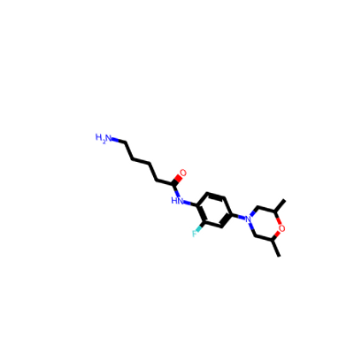 CC1CN(c2ccc(NC(=O)CCCCN)c(F)c2)CC(C)O1